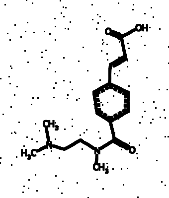 CN(C)CCN(C)C(=O)c1ccc(C=CC(=O)O)cc1